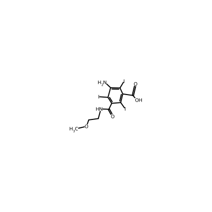 COCCNC(=O)c1c(I)c(N)c(I)c(C(=O)O)c1I